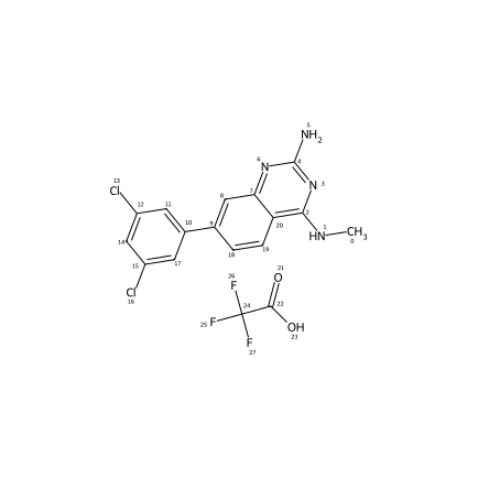 CNc1nc(N)nc2cc(-c3cc(Cl)cc(Cl)c3)ccc12.O=C(O)C(F)(F)F